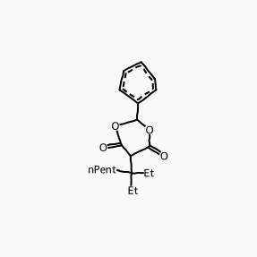 CCCCCC(CC)(CC)C1C(=O)OC(c2ccccc2)OC1=O